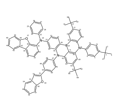 CC(C)(C)c1ccc(N2c3ccc(C(C)(C)C)cc3B3c4ccc(N(c5ccccc5)c5cccc6c5oc5ccccc56)cc4N(c4ccc(-c5cc6ccccc6o5)cc4)c4cc(C(C)(C)C)cc2c43)cc1